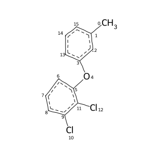 Cc1[c]c(Oc2cccc(Cl)c2Cl)ccc1